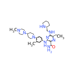 CCc1nc(C(N)=O)c(Nc2ccc(N3CCC(N4CCN(C)CC4)CC3)c(C)c2)nc1NC[C@@H]1CCCCN1